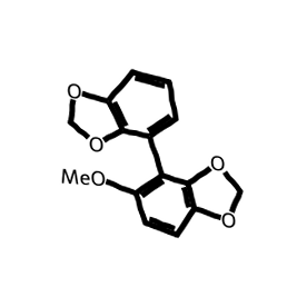 COc1ccc2c(c1-c1cccc3c1OCO3)OCO2